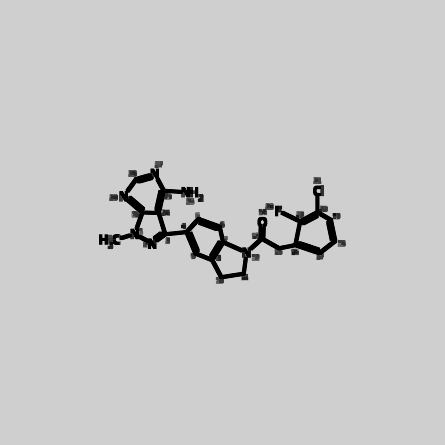 Cn1nc(-c2ccc3c(c2)CCN3C(=O)Cc2cccc(Cl)c2F)c2c(N)ncnc21